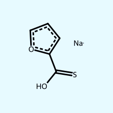 OC(=S)c1ccco1.[Na]